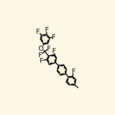 Cc1ccc(-c2ccc(-c3cc(F)c(C(F)(F)Oc4cc(F)c(F)c(F)c4)c(F)c3)cc2)c(F)c1